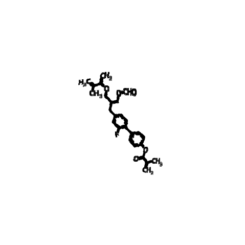 C=C(C)C(=C)OCC(COC=O)Cc1ccc(-c2ccc(OC(=O)C(=C)C)cc2)c(F)c1